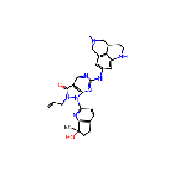 C=CCn1c(=O)c2cnc(Nc3cc4c5c(c3)NCCC5CN(C)C4)nc2n1-c1ccc2c(n1)C(O)(CC)CC2